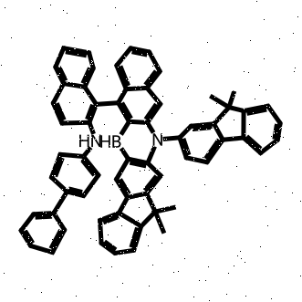 CC1(C)c2ccccc2-c2ccc(N3c4cc5c(cc4Bc4c3cc3ccccc3c4-c3c(Nc4ccc(-c6ccccc6)cc4)ccc4ccccc34)-c3ccccc3C5(C)C)cc21